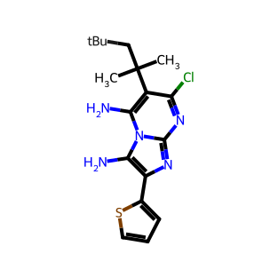 CC(C)(C)CC(C)(C)c1c(Cl)nc2nc(-c3cccs3)c(N)n2c1N